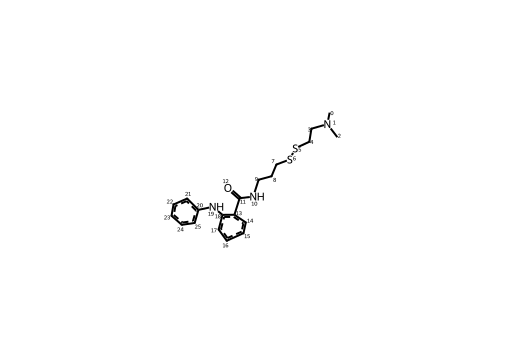 CN(C)CCSSCCCNC(=O)c1ccccc1Nc1ccccc1